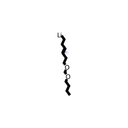 [Li][CH2]C/C=C/CCOCOCCCC